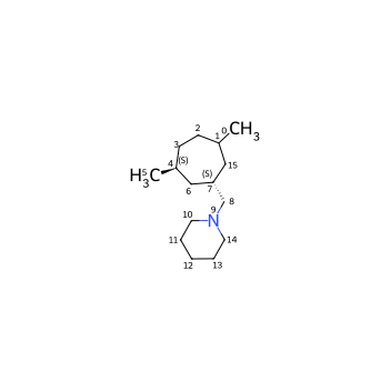 CC1CC[C@H](C)C[C@@H](CN2CCCCC2)C1